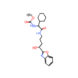 CC(C)(C)OC(=O)NC(C(=O)NCCCC(O)c1nc2ccccc2o1)C1CCCCC1